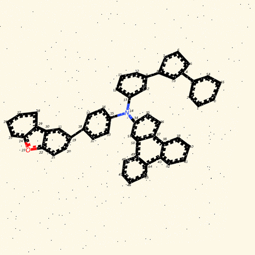 c1ccc(-c2cccc(-c3cccc(N(c4ccc(-c5ccc6oc7ccccc7c6c5)cc4)c4ccc5c6ccccc6c6ccccc6c5c4)c3)c2)cc1